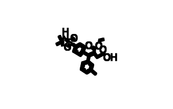 CCOC(=O)C(CC(=O)O)=C(c1ccc(S(=O)(=O)NC(C)(C)C)cc1)c1cccc(C)c1